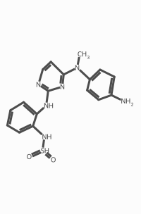 CN(c1ccc(N)cc1)c1ccnc(Nc2ccccc2N[SH](=O)=O)n1